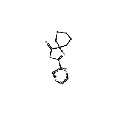 O=C1OC(c2cnccn2)=NC12CCCCC2